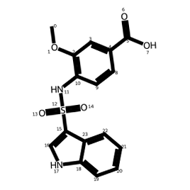 COc1cc(C(=O)O)ccc1NS(=O)(=O)c1c[nH]c2ccccc12